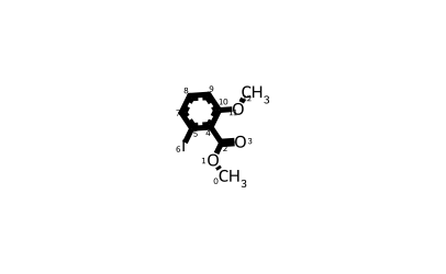 COC(=O)c1c(I)cccc1OC